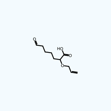 C=CCOC(CCCCC=O)C(=O)O